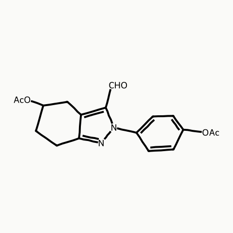 CC(=O)Oc1ccc(-n2nc3c(c2C=O)CC(OC(C)=O)CC3)cc1